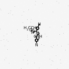 CC(C)Oc1ncc(C(c2ccc(C#N)cc2)N2CC[C@@H](NC(=O)c3ccc(C#N)cc3F)C2)s1